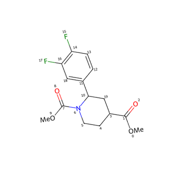 COC(=O)C1CCN(C(=O)OC)C(c2ccc(F)c(F)c2)C1